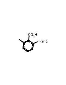 CCCCCc1cccc(C)c1C(=O)O